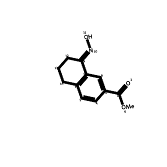 COC(=O)c1ccc2c(c1)/C(=N/O)CCC2